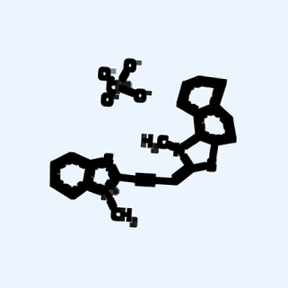 CN1C(=CC#Cc2sc3ccccc3[n+]2C)Sc2ccc3ccccc3c21.[O-][Cl+3]([O-])([O-])[O-]